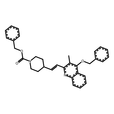 Cc1c(/C=C/C2CCN(C(=O)OCc3ccccc3)CC2)nc2ccccc2c1OCc1ccccc1